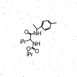 Cc1ccc(C(C)NC(=O)C(NC(=O)OC(C)C)C(C)C)cc1